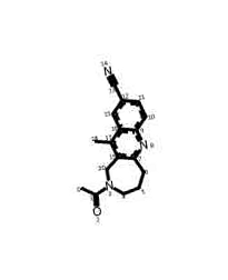 CC(=O)N1CCCc2nc3ccc(C#N)cc3c(C)c2C1